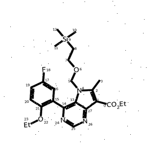 CCOC(=O)c1c(C)n(COCC[Si](C)(C)C)c2c(-c3cc(F)ccc3OCC)ncnc12